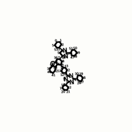 c1ccc(-c2cc(-c3cc(-c4ccc(-c5nc(-c6ccccc6)nc(-c6ccccc6)n5)cc4)c4c(c3)oc3ccccc34)nc(-c3ccccc3)n2)cc1